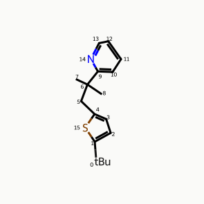 CC(C)(C)c1ccc(CC(C)(C)c2ccccn2)s1